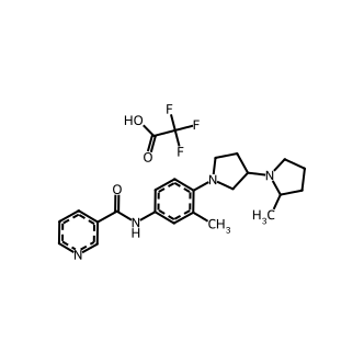 Cc1cc(NC(=O)c2cccnc2)ccc1N1CCC(N2CCCC2C)C1.O=C(O)C(F)(F)F